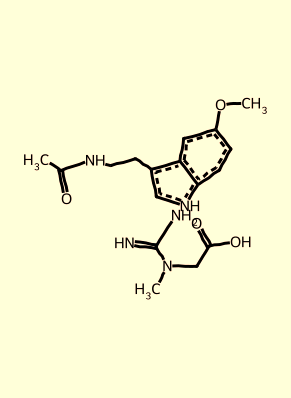 CN(CC(=O)O)C(=N)N.COc1ccc2[nH]cc(CCNC(C)=O)c2c1